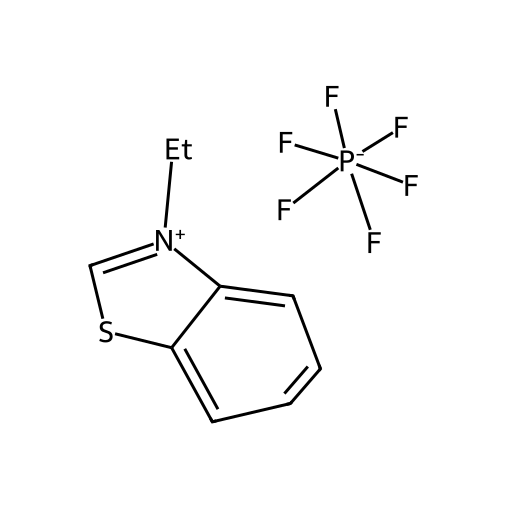 CC[n+]1csc2ccccc21.F[P-](F)(F)(F)(F)F